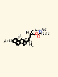 CC(=O)OC1CC[C@@]2(C)C(=CCC3C2CC[C@@]2(C)C3CC[C@@H]2[C@H](C)CCCC(C)COC(=O)C(OC(C)=O)N(C(C)=O)C(C)=O)C1